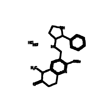 COc1nc2c(cc1CNC1CCNC1c1ccccc1)N(C)C(=O)CC2.Cl.Cl